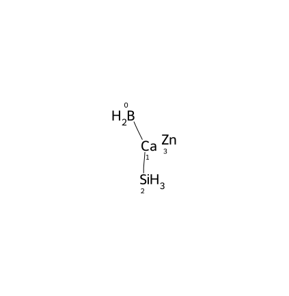 [BH2][Ca][SiH3].[Zn]